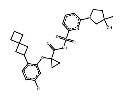 CC1(O)CCN(c2cccc(S(=O)(=O)NC(=O)C3(Oc4cc(Cl)ccc4C4CC5(CCC5)C4)CC3)n2)C1